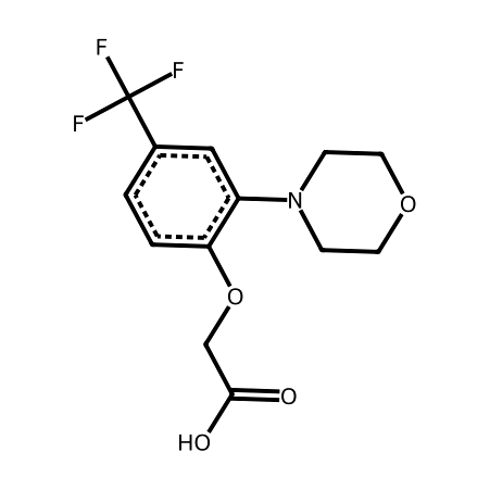 O=C(O)COc1ccc(C(F)(F)F)cc1N1CCOCC1